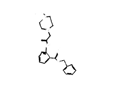 CCOC(=O)N1CCN(CC(=O)Nc2ccccc2C(=O)NCc2ccccc2)CC1